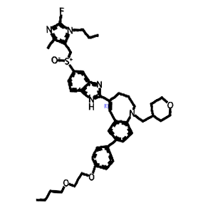 CCCCOCCOc1ccc(-c2ccc3c(c2)/C=C(/c2nc4cc([S+]([O-])Cc5c(C)nc(F)n5CCC)ccc4[nH]2)CCCN3CC2CCOCC2)cc1